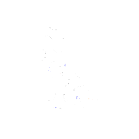 CCP(=O)(Cc1ccc(C(=O)Nc2cc(-c3cccs3)ccc2N)cc1)NCc1cccnc1